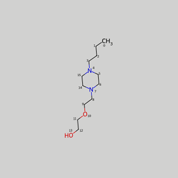 CCCCN1CCN(CCOCCO)CC1